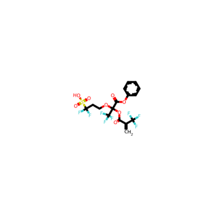 C=C(C(=O)OC(OCCC(F)(F)S(=O)(=O)O)(C(=O)Oc1ccccc1)C(F)(F)F)C(F)(F)F